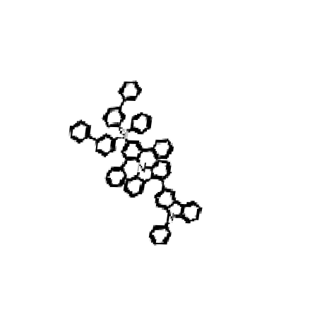 c1ccc(-c2cccc([Si](c3ccccc3)(c3cccc(-c4ccccc4)c3)c3cc(-c4ccccc4)c(-n4c5ccccc5c5c(-c6ccc7c(c6)c6ccccc6n7-c6ccccc6)cccc54)c(-c4ccccc4)c3)c2)cc1